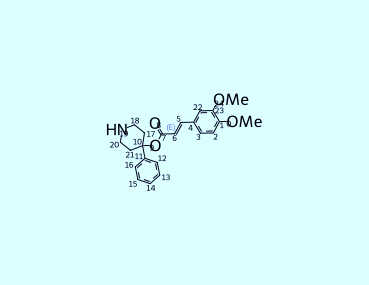 COc1ccc(/C=C/C(=O)OC2(c3ccccc3)CCNCC2)cc1OC